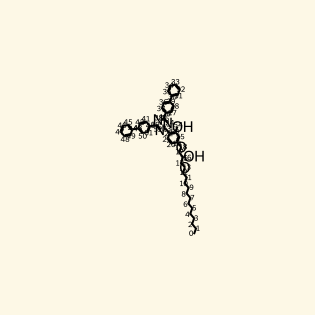 CCCCCCCCCCCCCOCC(O)COc1ccc(-c2nc(-c3ccc(-c4ccccc4)cc3)nc(-c3ccc(-c4ccccc4)cc3)n2)c(O)c1